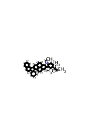 CCn1c2ccc(C(C)(C)CC)cc2c2cc3ccc4c5c(cc6ccc(c3c64)c21)-c1c(ccc2ccccc12)C51CCCCC1